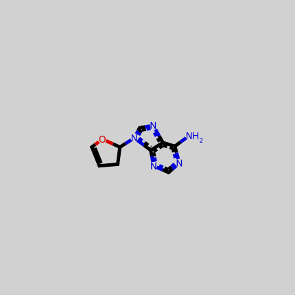 Nc1ncnc2c1ncn2C1CC=CO1